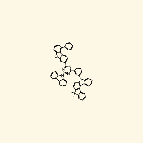 CC1(C)c2ccccc2-c2c1ccc1c2c2ccccc2n1-c1cccc(-c2nc(-c3ccc4c(c3)oc3cccc(-c5ccccc5)c34)nc(-n3c4ccccc4c4ccccc43)n2)c1